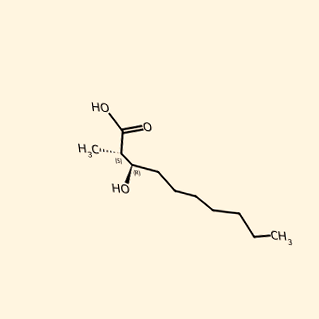 CCCCCCC[C@@H](O)[C@H](C)C(=O)O